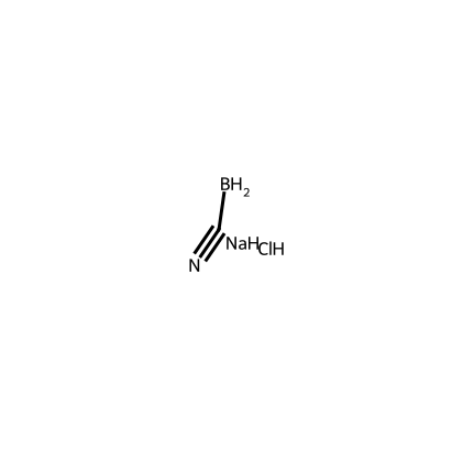 BC#N.Cl.[NaH]